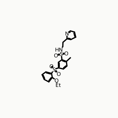 CCOc1ccccc1S(=O)(=O)c1ccc(C)c(S(=O)(=O)NCCc2ccccn2)c1